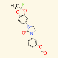 CC1(F)Oc2ccc(N3CCN(c4cccc(OC=O)c4)C3=O)cc2O1